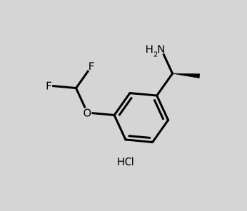 C[C@H](N)c1cccc(OC(F)F)c1.Cl